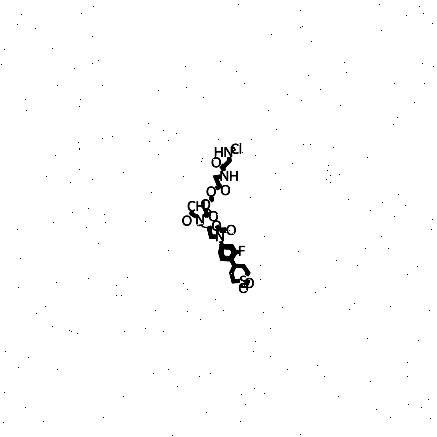 CC(=O)N(C[C@H]1CN(c2ccc(C3CCS(=O)(=O)CC3)c(F)c2)C(=O)O1)C(=O)OCOC(=O)CNC(=O)CNCl